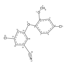 COc1cc(Cl)ccc1Oc1cc(Cl)cc(C#N)c1